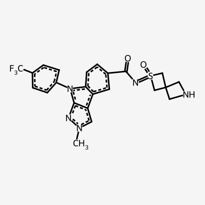 Cn1cc2c3cc(C(=O)N=S4(=O)CC5(CNC5)C4)ccc3n(-c3ccc(C(F)(F)F)cc3)c2n1